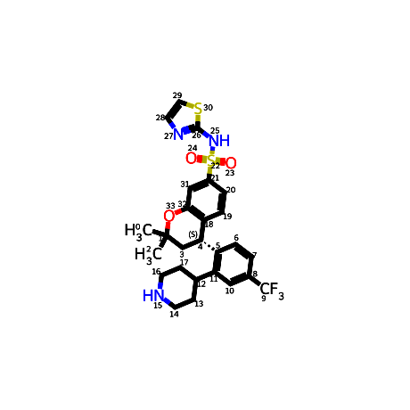 CC1(C)C[C@@H](c2ccc(C(F)(F)F)cc2C2CCNCC2)c2ccc(S(=O)(=O)Nc3nccs3)cc2O1